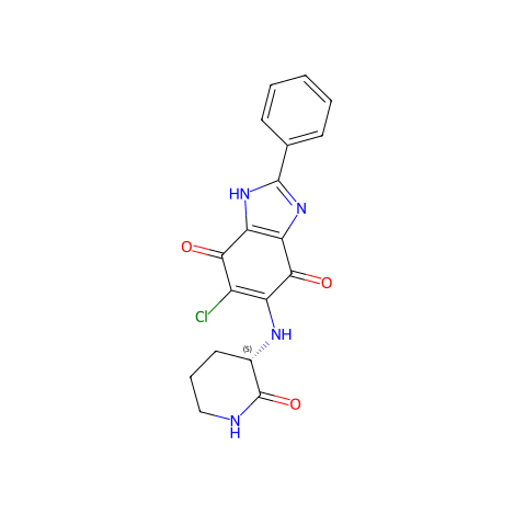 O=C1C(N[C@H]2CCCNC2=O)=C(Cl)C(=O)c2[nH]c(-c3ccccc3)nc21